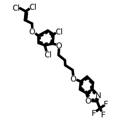 FC(F)(F)c1nc2ccc(OCCCCOc3c(Cl)cc(OCC=C(Cl)Cl)cc3Cl)cc2o1